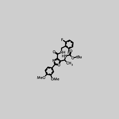 COc1ccc(-c2nc(C(=O)NCc3c(F)cccc3F)c(C(C)NC(=O)OC(C)(C)C)o2)cc1OC